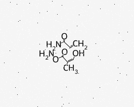 C=CC(N)=O.CC(=CO)C(=O)ON